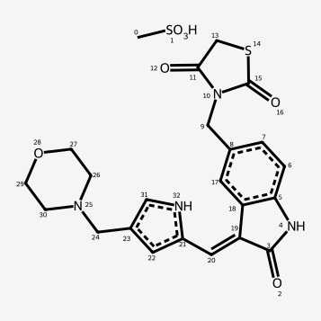 CS(=O)(=O)O.O=C1Nc2ccc(CN3C(=O)CSC3=O)cc2C1=Cc1cc(CN2CCOCC2)c[nH]1